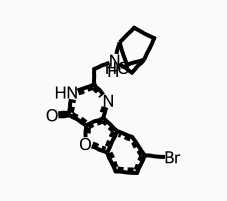 O=c1[nH]c(CN2CC3CCC2[C@@H]3O)nc2c1oc1ccc(Br)cc12